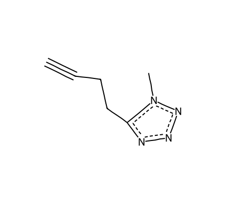 C#CCCc1nnnn1C